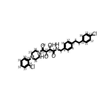 O=C(NCc1ccc(CCc2ccc(Cl)cc2)cc1)[C@H](O)[C@@H](O)C(=O)N1CCN(c2ccccc2Cl)CC1